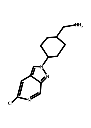 NCC1CCC(n2cc3cc(Cl)ncc3n2)CC1